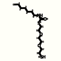 CCCCCCCNC(=O)SCCOCCOCCS